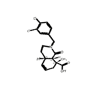 C[C@@]1(C(=O)O)CC=C[C@@H]2CCN(Cc3ccc(Cl)c(Cl)c3)C(=O)[C@@H]21